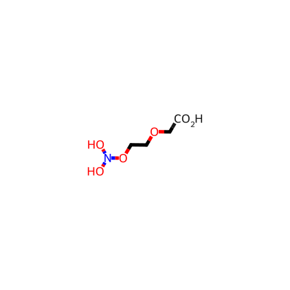 O=C(O)COCCON(O)O